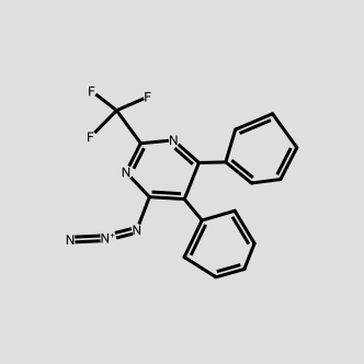 [N-]=[N+]=Nc1nc(C(F)(F)F)nc(-c2ccccc2)c1-c1ccccc1